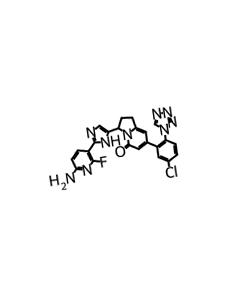 Nc1ccc(-c2ncc(C3CCc4cc(-c5cc(Cl)ccc5-n5cnnn5)cc(=O)n43)[nH]2)c(F)n1